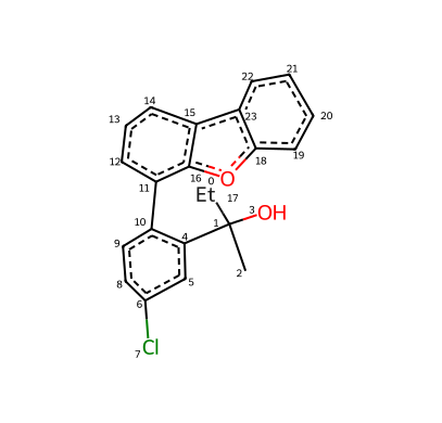 CCC(C)(O)c1cc(Cl)ccc1-c1cccc2c1oc1ccccc12